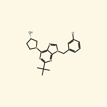 CC(C)(C)c1nc(N2CC[C@H](O)C2)c2ncn(Cc3cccc(Cl)c3)c2n1